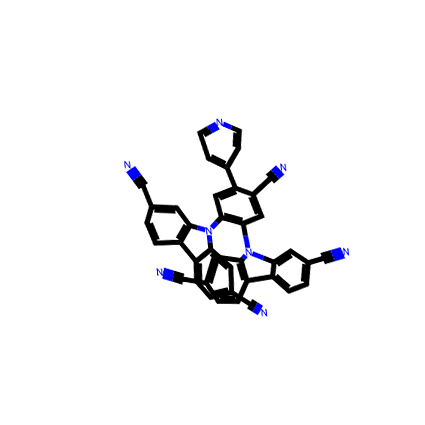 N#Cc1ccc2c3ccc(C#N)cc3n(-c3cc(C#N)c(-c4ccncc4)cc3-n3c4cc(C#N)ccc4c4ccc(C#N)cc43)c2c1